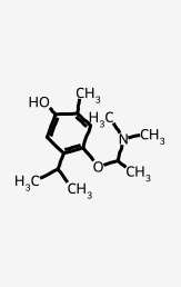 Cc1cc(OC(C)N(C)C)c(C(C)C)cc1O